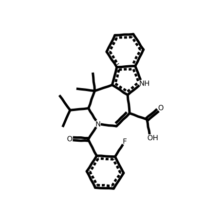 CC(C)C1N(C(=O)c2ccccc2F)C=C(C(=O)O)c2[nH]c3ccccc3c2C1(C)C